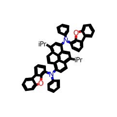 CC(C)c1cc2c(N(c3ccccc3)c3cccc4c3oc3ccccc34)cc(C(C)C)c3ccc4c(N(c5ccccc5)c5cccc6c5oc5ccccc56)ccc1c4c32